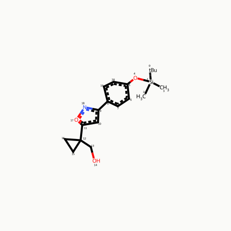 CC(C)(C)[Si](C)(C)Oc1ccc(-c2cc(C3(CO)CC3)on2)cc1